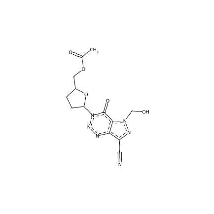 CC(=O)OCC1[CH][CH]C(n2nnc3c(C#N)nn(CO)c3c2=O)O1